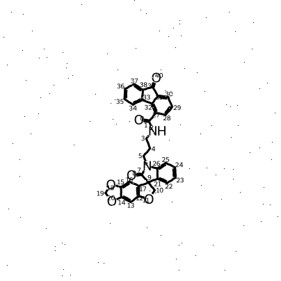 O=C(NCCCN1C(=O)C2(COc3cc4c(cc32)OCO4)c2ccccc21)c1cccc2c1-c1ccccc1C2=O